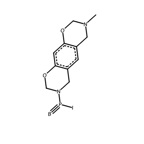 B#P(I)N1COc2cc3c(cc2C1)CN(C)CO3